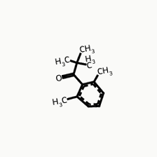 Cc1cccc(C)c1C(=O)C(C)(C)C